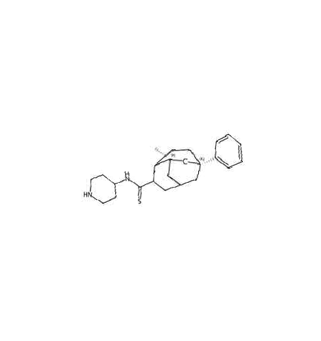 C[C@]12CC3CC(C(=S)NC4CCNCC4)C1CC[C@@](c1ccccc1)(C3)C2